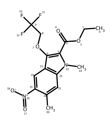 CCOC(=O)c1c(OCC(F)(F)F)c2cc([N+](=O)[O-])c(C)cc2n1C